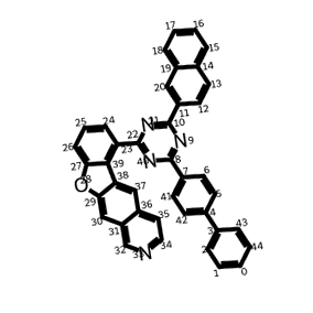 c1ccc(-c2ccc(-c3nc(-c4ccc5ccccc5c4)nc(-c4cccc5oc6cc7cnccc7cc6c45)n3)cc2)cc1